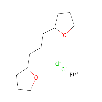 C1COC(CCCC2CCCO2)C1.[Cl-].[Cl-].[Pt+2]